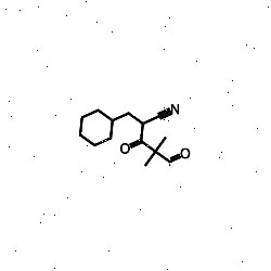 CC(C)([C]=O)C(=O)C(C#N)CC1CCCCC1